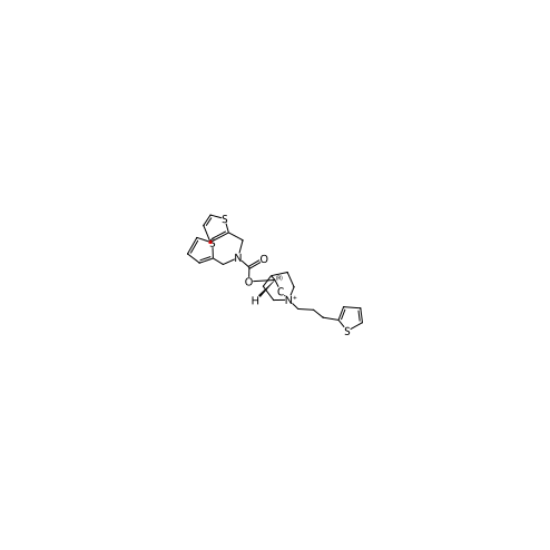 O=C(O[C@H]1C[N+]2(CCCc3cccs3)CCC1CC2)N(Cc1cccs1)Cc1cccs1